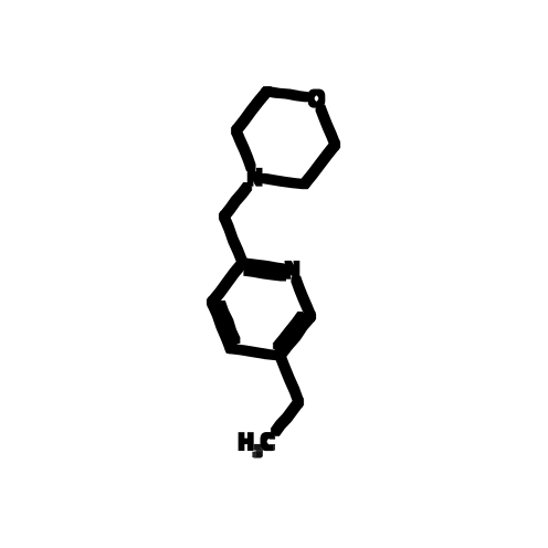 CCc1ccc(CN2CCOCC2)nc1